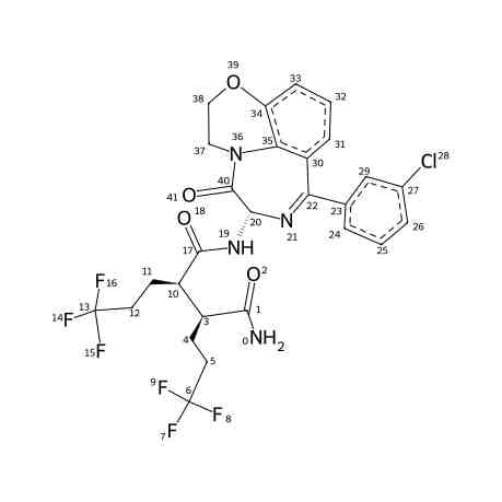 NC(=O)[C@@H](CCC(F)(F)F)[C@@H](CCC(F)(F)F)C(=O)N[C@H]1N=C(c2cccc(Cl)c2)c2cccc3c2N(CCO3)C1=O